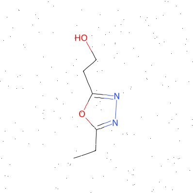 CCc1nnc(CCO)o1